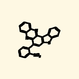 O=[N+]([O-])c1ccccc1-c1cc2sc3ccccc3c2c2nc3ccccc3nc12